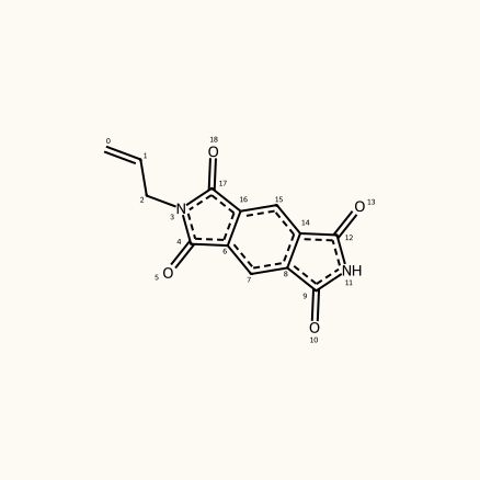 C=CCn1c(=O)c2cc3c(=O)[nH]c(=O)c3cc2c1=O